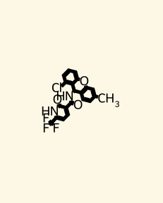 Cc1ccc2c(c1)Oc1cccc(Cl)c1C2NC(=O)c1ccc(C(F)(F)F)[nH]c1=O